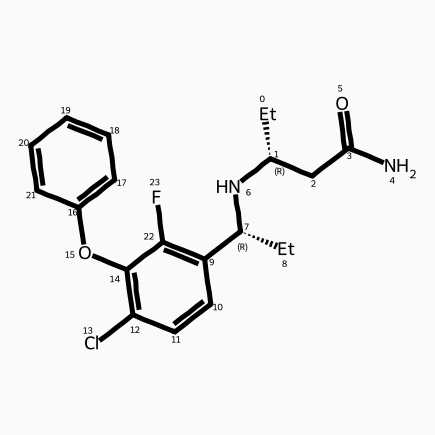 CC[C@H](CC(N)=O)N[C@H](CC)c1ccc(Cl)c(Oc2ccccc2)c1F